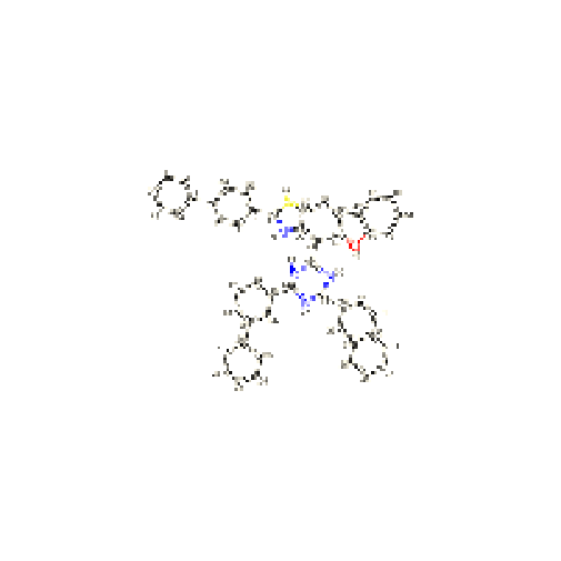 c1ccc(-c2ccc(-c3nc4c(-c5nc(-c6cccc(-c7ccccc7)c6)nc(-c6ccc7ccccc7c6)n5)c5oc6ccccc6c5cc4s3)cc2)cc1